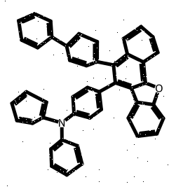 c1ccc(-c2ccc(-c3c(-c4ccc(N(c5ccccc5)c5ccccc5)cc4)c4c5ccccc5oc4c4ccccc34)cc2)cc1